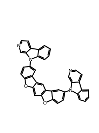 c1ccc2c(c1)c1ccncc1n2-c1ccc2oc3cc4oc5ccc(-n6c7ccccc7c7ccncc76)cc5c4cc3c2c1